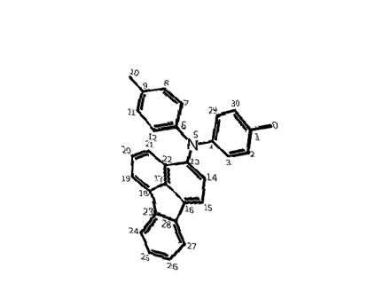 Cc1ccc(N(c2ccc(C)cc2)c2ccc3c4c(cccc24)-c2ccccc2-3)cc1